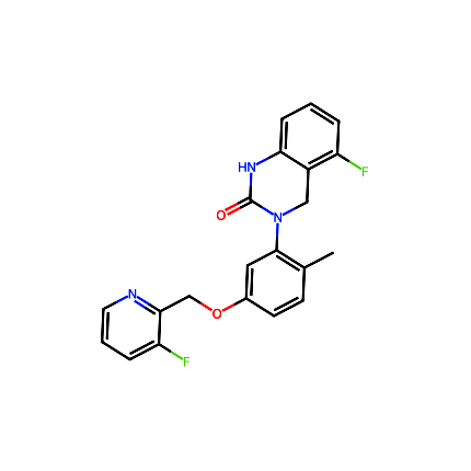 Cc1ccc(OCc2ncccc2F)cc1N1Cc2c(F)cccc2NC1=O